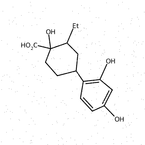 CCC1CC(c2ccc(O)cc2O)CCC1(O)C(=O)O